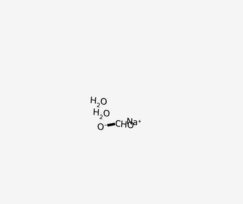 O.O.O=C[O-].[Na+]